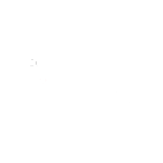 CCOc1ccc([C]2CC2)cc1